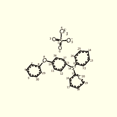 O=S(=O)([O-])C(F)(F)F.c1ccc(Oc2ccc([S+](c3ccccc3)c3ccccc3)cc2)cc1